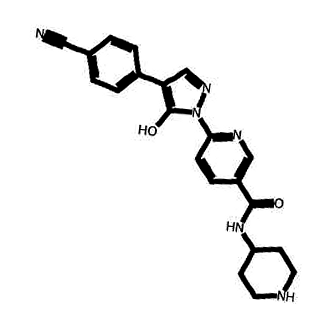 N#Cc1ccc(-c2cnn(-c3ccc(C(=O)NC4CCNCC4)cn3)c2O)cc1